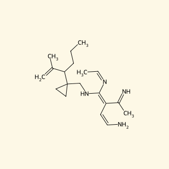 C=C(C)C(CCC)C1(CNC(/N=C\C)=C(\C=C/N)C(C)=N)CC1